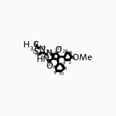 COc1ccc(C2=C(c3ccccc3)c3c(nc(-c4csc(C)n4)[nH]c3=O)C2=O)cc1